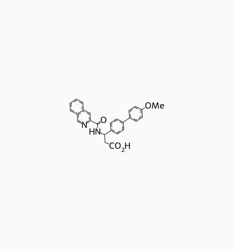 COc1ccc(-c2ccc(C(CC(=O)O)NC(=O)c3cc4ccccc4cn3)cc2)cc1